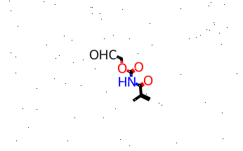 C=C(C)C(=O)NC(=O)OCC=O